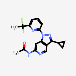 CC(=O)Nc1cc2c(cn1)c(C1CC1)nn2-c1cccc(C(C)(F)F)n1